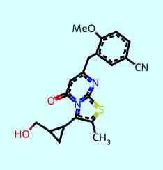 COc1ccc(C#N)cc1Cc1cc(=O)n2c(C3CC3CO)c(C)sc2n1